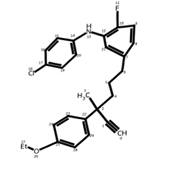 C#CC(C)(CCCc1ccc(F)c(Nc2ccc(Cl)cc2)c1)c1ccc(OCC)cc1